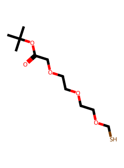 CC(C)(C)OC(=O)COCCOCCOCS